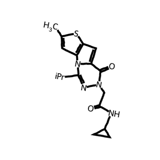 Cc1cc2c(cc3c(=O)n(CC(=O)NC4CC4)nc(C(C)C)n32)s1